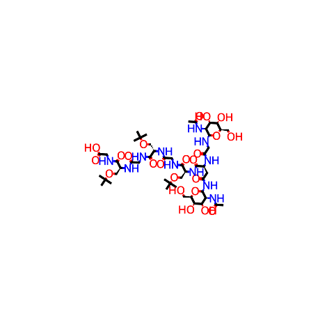 CC(=O)N[C@H]1[C@@H](O)[C@H](O)[C@@H](CO)O[C@H]1NCC(=O)N[C@@H](CC(=O)N[C@@H]1O[C@H](CO)[C@@H](O)[C@H](O)[C@@H]1NC(C)=O)C(=O)N[C@@H](COC(C)(C)C)C(=O)NCC(=O)N[C@@H](COC(C)(C)C)C(=O)NCC(=O)N[C@@H](COC(C)(C)C)C(=O)NCC(=O)O